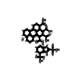 O=C(O)c1c(C(=O)O)c2c(C(=O)O)ccc3c4cccc5cccc(c(c1C(=O)O)c23)c54.O=S(=O)(O)c1nc2cccc(S(=O)(=O)O)c2[nH]1.[Li]